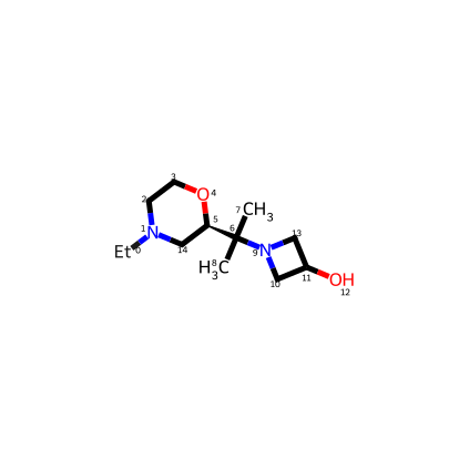 CCN1CCO[C@@H](C(C)(C)N2CC(O)C2)C1